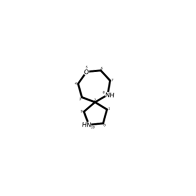 C1CC2(CCOCCN2)CN1